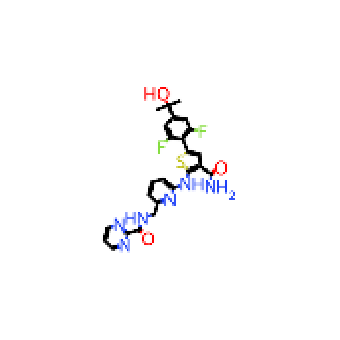 CC(C)(O)c1cc(F)c(-c2cc(C(N)=O)c(Nc3cccc(CNC(=O)c4ncccn4)n3)s2)c(F)c1